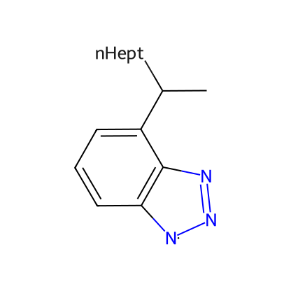 CCCCCCCC(C)c1cccc2c1N=N[N]2